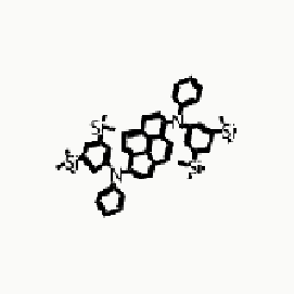 C[Si](C)(C)c1cc(N(c2ccccc2)c2ccc3ccc4c(N(c5ccccc5)c5cc([Si](C)(C)C)cc([Si](C)(C)C)c5)ccc5ccc2c3c54)cc([Si](C)(C)C)c1